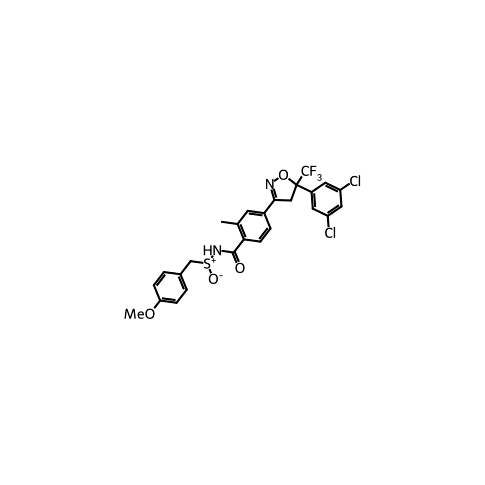 COc1ccc(C[S+]([O-])NC(=O)c2ccc(C3=NOC(c4cc(Cl)cc(Cl)c4)(C(F)(F)F)C3)cc2C)cc1